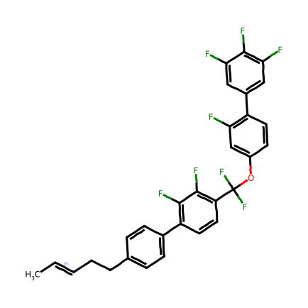 C/C=C/CCc1ccc(-c2ccc(C(F)(F)Oc3ccc(-c4cc(F)c(F)c(F)c4)c(F)c3)c(F)c2F)cc1